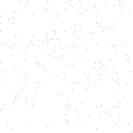 CC(C)(C)C(O)C(C(O)c1c(F)c(F)nc(C(F)(F)F)c1F)C(F)(F)F